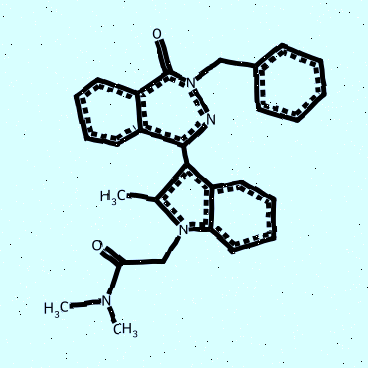 Cc1c(-c2nn(Cc3ccccc3)c(=O)c3ccccc23)c2ccccc2n1CC(=O)N(C)C